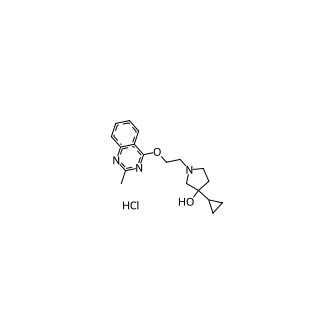 Cc1nc(OCCN2CCC(O)(C3CC3)C2)c2ccccc2n1.Cl